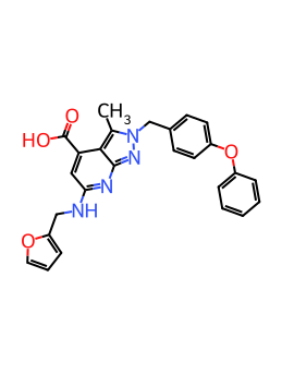 Cc1c2c(C(=O)O)cc(NCc3ccco3)nc2nn1Cc1ccc(Oc2ccccc2)cc1